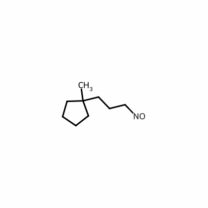 CC1(CCCN=O)CCCC1